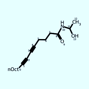 CCCCCCCCC#CC#CCCCC(=O)NC(C)O